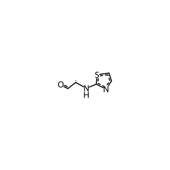 O=C[CH]Nc1nccs1